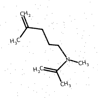 C=C(C)CCCN(C)C(=C)C